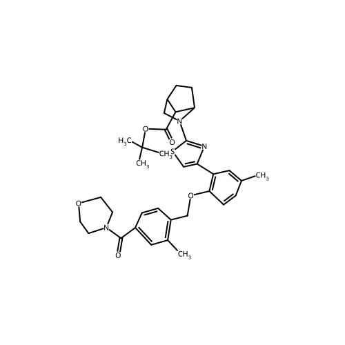 Cc1ccc(OCc2ccc(C(=O)N3CCOCC3)cc2C)c(-c2csc(N3CC4CCC3C4C(=O)OC(C)(C)C)n2)c1